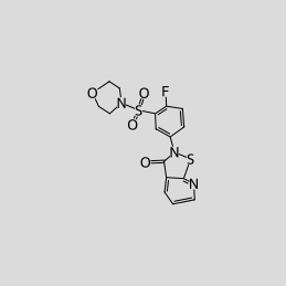 O=c1c2cccnc2sn1-c1ccc(F)c(S(=O)(=O)N2CCOCC2)c1